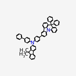 CC1(C)c2ccccc2-c2ccc(N(c3ccc(-c4ccccc4)cc3)c3ccc(-c4ccc5c(c4)c4cccc6c4n5-c4ccccc4C6(c4ccccc4)c4ccccc4)cc3)cc21